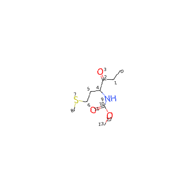 CCC(=O)C(CCSC)NC(=O)OC